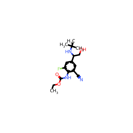 CCOC(=O)Nc1c(F)cc(C(CO)NC(C)(C)C)cc1C#N